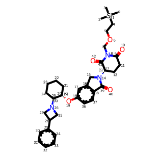 C[Si](C)(C)CCOCN1C(=O)CC[C@H](N2Cc3cc(O[C@H]4CCCC[C@@H]4N4CC(c5ccccc5)C4)ccc3C2=O)C1=O